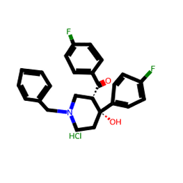 Cl.O=C(c1ccc(F)cc1)[C@H]1CN(Cc2ccccc2)CC[C@]1(O)c1ccc(F)cc1